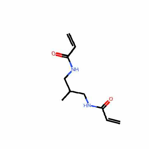 C=CC(=O)NCC(C)CNC(=O)C=C